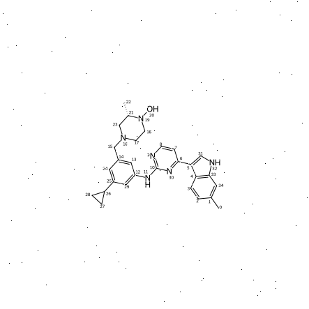 Cc1ccc2c(-c3ccnc(Nc4cc(CN5CCN(O)[C@@H](C)C5)cc(C5CC5)c4)n3)c[nH]c2c1